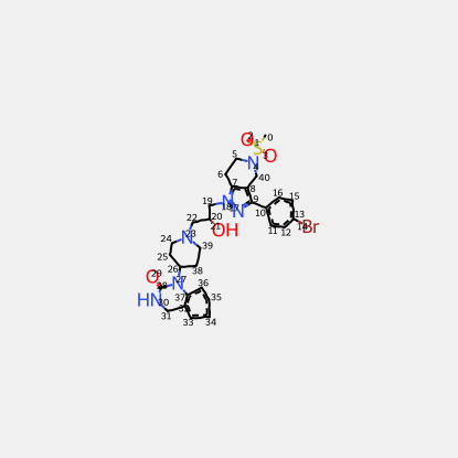 CS(=O)(=O)N1CCc2c(c(-c3ccc(Br)cc3)nn2CC(O)CN2CCC(N3C(=O)NCc4ccccc43)CC2)C1